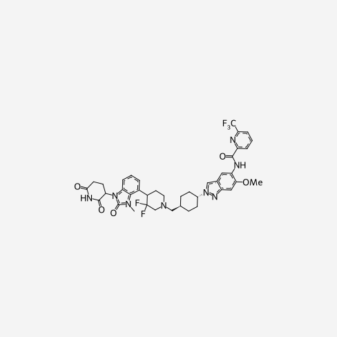 COc1cc2nn([C@H]3CC[C@H](CN4CCC(c5cccc6c5n(C)c(=O)n6C5CCC(=O)NC5=O)C(F)(F)C4)CC3)cc2cc1NC(=O)c1cccc(C(F)(F)F)n1